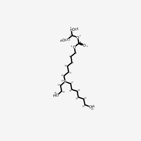 CCCCCCCCC(CCCCCCCC)OC(=O)OCCCCCCN(CCO)CCCCCCO